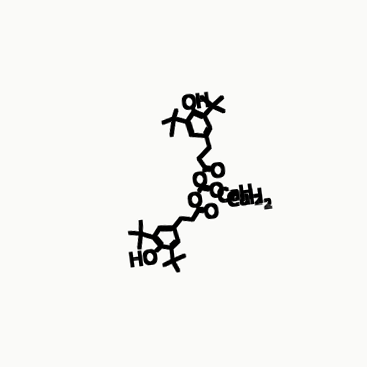 CC(C)(C)c1cc(CCC(=O)OC(=O)OC(=O)CCc2cc(C(C)(C)C)c(O)c(C(C)(C)C)c2)cc(C(C)(C)C)c1O.[CaH2].[CaH2]